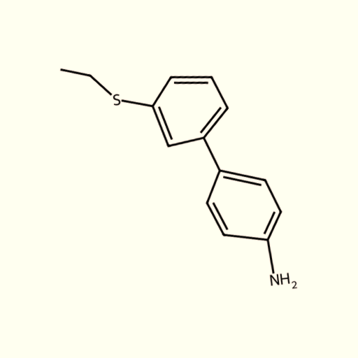 CCSc1cccc(-c2ccc(N)cc2)c1